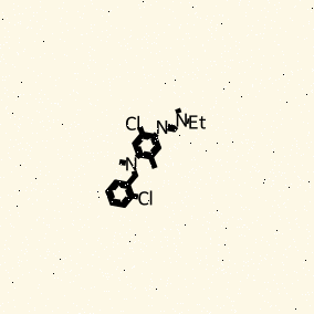 CCN(C)C=Nc1cc(C)c(N(C)Cc2ccccc2Cl)cc1Cl